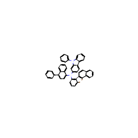 c1ccc(-c2ccc(N(c3ccc4c5ccccc5n(-c5ccccc5)c4c3)c3cccc4sc5c6ccccc6ccc5c34)c3ccccc23)cc1